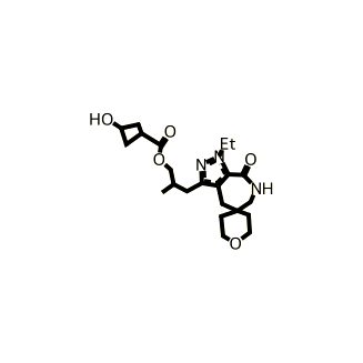 CCn1nc(CC(C)COC(=O)C2CC(O)C2)c2c1C(=O)NCC1(CCOCC1)C2